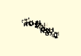 CN(C)C(=O)c1ccc(-c2ccc(Nc3cncc(NC(=O)CCc4ccccc4)c3)nc2)cc1